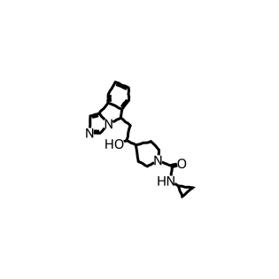 O=C(NC1CC1)N1CCC(C(O)CC2c3ccccc3-c3cncn32)CC1